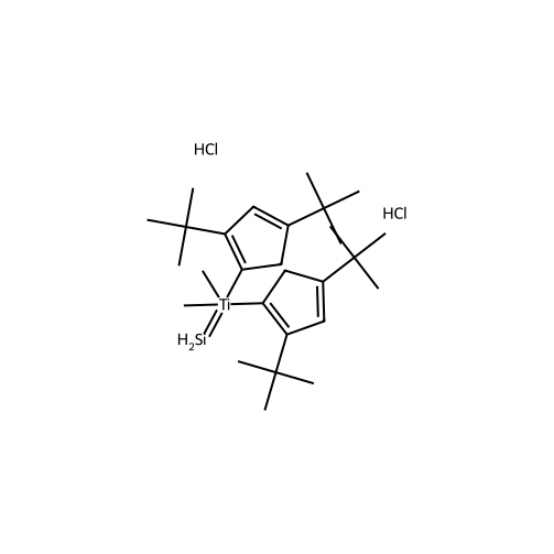 CC(C)(C)C1=CC(C(C)(C)C)=[C]([Ti]([CH3])([CH3])(=[SiH2])[C]2=C(C(C)(C)C)C=C(C(C)(C)C)C2)C1.Cl.Cl